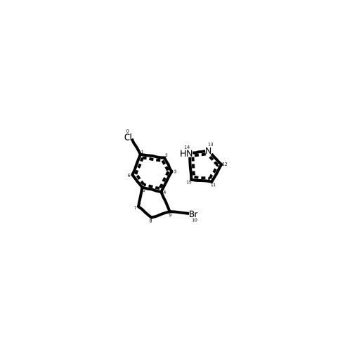 Clc1ccc2c(c1)CCC2Br.c1cn[nH]c1